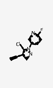 C#Cc1cnn(-c2ccc(F)nc2)c1Cl